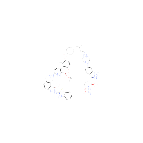 Cc1c(O[C@H]2CC[C@H](C[C@@H](C)CCN3CCN(c4ccc5c(C6CCC(=O)NC6=O)nn(C)c5c4)CC3)CC2)cccc1-c1ccc(N2CCc3cccc(C(=O)Nc4nc5ccccc5s4)c3C2)nc1C(=O)OC(C)(C)C